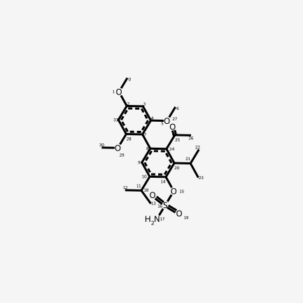 COc1cc(OC)c(-c2cc(C(C)C)c(OS(N)(=O)=O)c(C(C)C)c2C(C)=O)c(OC)c1